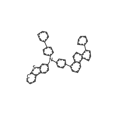 c1ccc(-c2ccc(N(c3ccc(-c4cccc5c4ccc4c(-c6ccccc6)cccc45)cc3)c3ccc4c(c3)sc3ccccc34)cc2)cc1